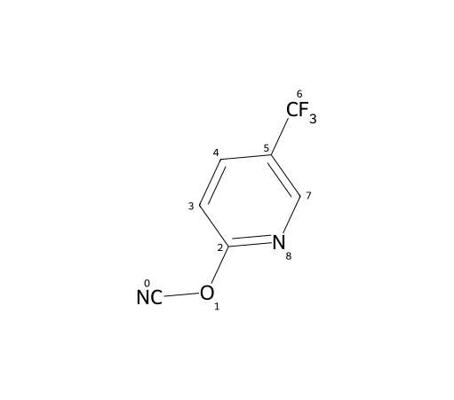 N#COc1ccc(C(F)(F)F)cn1